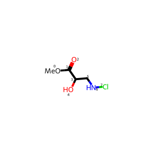 COC(=O)C(O)CNCl